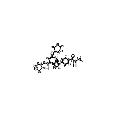 O=C(NC1CC1)c1ccc(-c2cnc3c(NCC4CCOCC4)cc(OC4CCCCC4)nn23)cc1